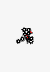 CC1(C)c2ccccc2-c2ccc(N(c3ccc(-c4ccccc4)cc3)c3ccc4c(c3)C3(c5ccccc5-c5ccccc5-4)c4ccccc4-c4c3ccc3sc5ccccc5c43)cc21